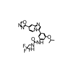 CC(C)Oc1cc(NC(=O)NCC(F)(F)F)cc(-c2cnc3cc(-c4nnco4)ccn23)c1